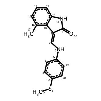 CSc1ccc(NC=C2C(=O)Nc3cccc(C)c32)cc1